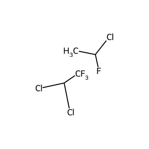 CC(F)Cl.FC(F)(F)C(Cl)Cl